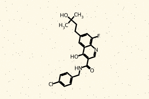 CC(C)(O)CCc1cc(F)c2ncc(C(=O)NCc3ccc(Cl)cc3)c(O)c2c1